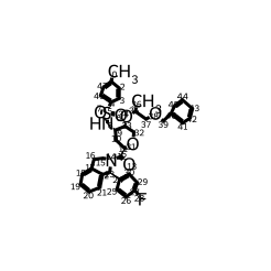 Cc1ccc(S(=O)(=O)N[C@H]2C[C@H](C(=O)N3CCc4ccccc4[C@@H]3c3ccc(F)cc3)OC[C@@H]2OC(C)COCc2ccccc2)cc1